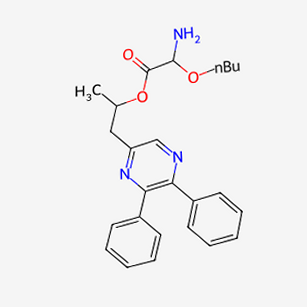 CCCCOC(N)C(=O)OC(C)Cc1cnc(-c2ccccc2)c(-c2ccccc2)n1